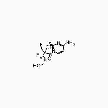 Nc1ccn([C@@H]2O[C@H](CO)[C@H](F)C2(O)CF)c(=S)n1